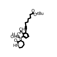 CN(C)c1c(C#CCCCCCC(=O)OC(C)(C)C)cccc1N(C=O)C1CCCCNC1=O